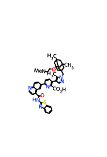 CNCCOC12CC3(C)CC(C)(CC(Cn4ncc(-c5ccc(-c6ccc7nccc(C(=O)Nc8nc9ccccc9s8)c7c6)nc5C(=O)O)c4C)(C3)C1)C2